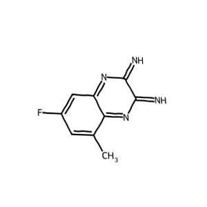 Cc1cc(F)cc2c1=NC(=N)C(=N)N=2